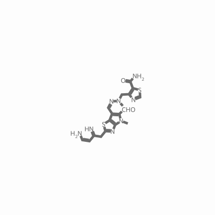 CN(Cc1ncsc1C(N)=O)/N=C\c1c(C=O)n(C)c2nc(CC(=N)/C=C\N)sc12